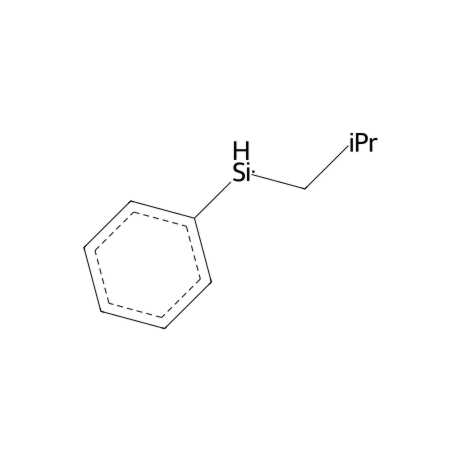 CC(C)C[SiH]c1ccccc1